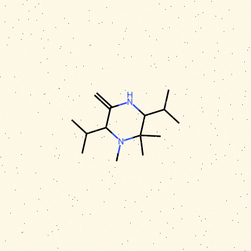 C=C1NC(C(C)C)C(C)(C)N(C)C1C(C)C